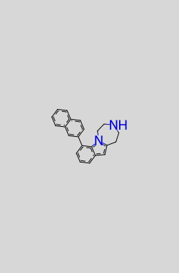 c1ccc2cc(-c3cccc4cc5n(c34)CCNCC5)ccc2c1